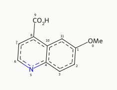 COc1ccc2nc[c]c(C(=O)O)c2c1